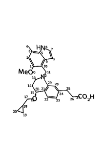 COc1cc(C)c2[nH]ccc2c1CN1CC[C@H](OCC2CC2)c2ccc(CCC(=O)O)cc21